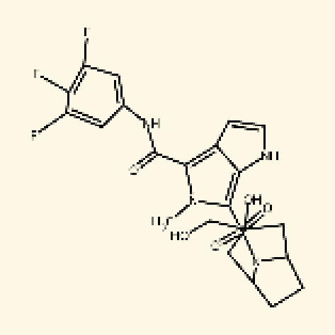 Cn1c(C(=O)Nc2cc(F)c(F)c(F)c2)c2cc[nH]c2c1S(=O)(=O)N1C2CCC1CC(O)(CO)C2